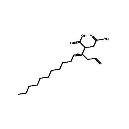 C=CC/C(=C\CCCCCCCCCC)C(CC(=O)O)C(=O)O